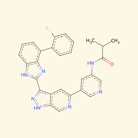 CC(C)C(=O)Nc1cncc(-c2cc3c(-c4nc5c(-c6ccccc6F)cccc5[nH]4)n[nH]c3cn2)c1